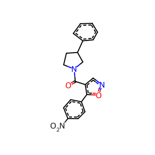 O=C(c1cnoc1-c1ccc([N+](=O)[O-])cc1)N1CCC(c2ccccc2)C1